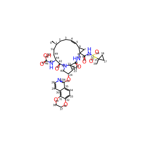 C[C@H]1CC/C=C\C2CC2(C(=O)NS(=O)(=O)C2(C)CC2)NC(=O)[C@@H]2C[C@@H](Oc3nccc4c5c(ccc34)OCCO5)CN2C(=O)[C@@H](NC(=O)O)[C@H](C)C1